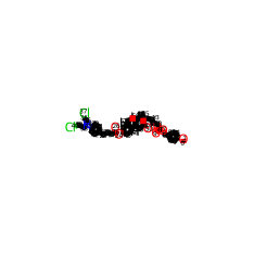 COc1ccc(COC(=O)CC[C@@H](C)[C@H]2CC[C@H]3[C@@H]4CC[C@@H]5C[C@H](OC(=O)CCCc6ccc(N(CCCl)CCCl)cc6)CC[C@]5(C)[C@H]4C[C@H](O)[C@]23C)cc1